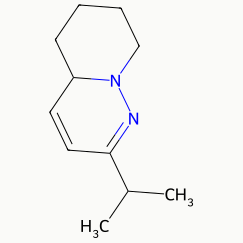 CC(C)C1=NN2CCCCC2C=C1